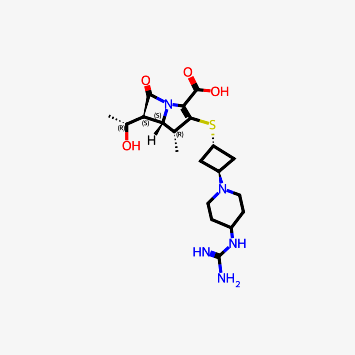 C[C@@H](O)[C@H]1C(=O)N2C(C(=O)O)=C(S[C@H]3C[C@H](N4CCC(NC(=N)N)CC4)C3)[C@H](C)[C@H]12